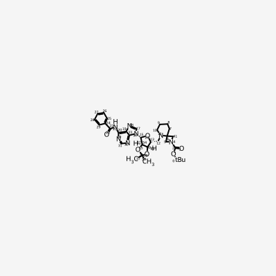 CC(C)(C)OC(=O)N1CC2(CCCCN2C[C@H]2O[C@@H](n3cnc4c(NC(=O)c5ccccc5)ncnc43)[C@@H]3OC(C)(C)O[C@@H]32)C1